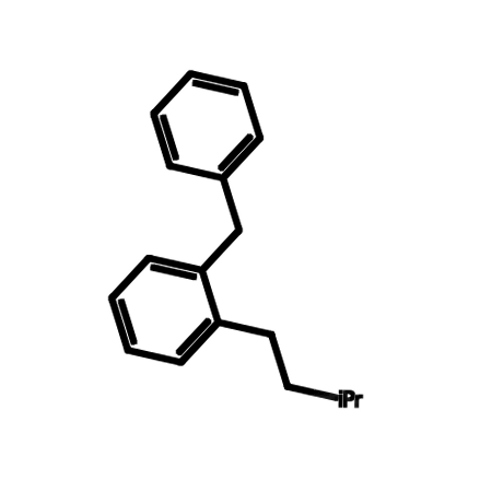 CC(C)CCc1ccccc1Cc1ccccc1